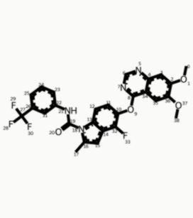 COc1cc2ncnc(Oc3ccc4c(cc(C)n4C(=O)Nc4cccc(C(F)(F)F)c4)c3F)c2cc1OC